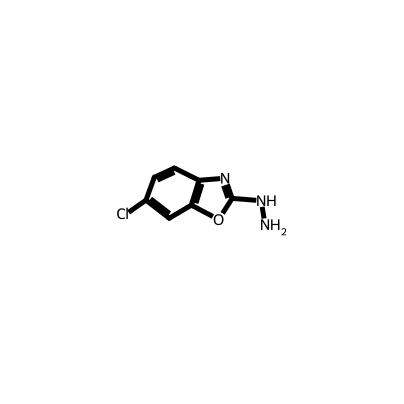 NNc1nc2ccc(Cl)cc2o1